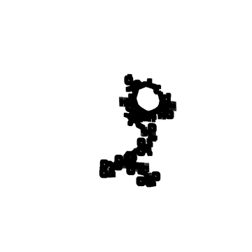 COC1=C(C)C2CC(=C1)CC(C)CCCC(OC)C1(O)C[C@H](OC(=O)N1)[C@@H](C)[C@@H]1O[C@@]1(C)[C@@H](OC(=O)[C@H](C)C(C)C(=O)CCSC(=O)N(C)CCN(C)C(=O)OCc1ccc(NC(=O)OC3/C=C/COCOC3)c(C(=O)NCCN3C(=O)C=CC3=O)c1)CC(O)C2C